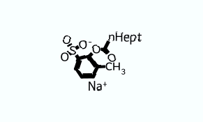 CCCCCCCC(=O)Oc1c(C)cccc1S(=O)(=O)[O-].[Na+]